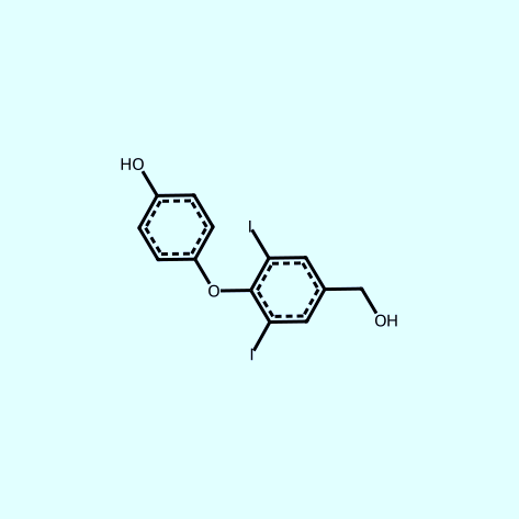 OCc1cc(I)c(Oc2ccc(O)cc2)c(I)c1